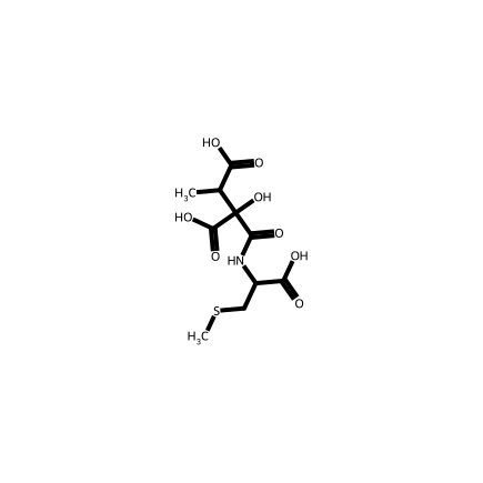 CSCC(NC(=O)C(O)(C(=O)O)C(C)C(=O)O)C(=O)O